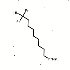 CCCCCCCCCCCCCCCCCC([NH])(CC)CC